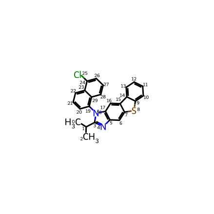 CC(C)c1nc2cc3sc4ccccc4c3cc2n1-c1cccc2c(Cl)cccc12